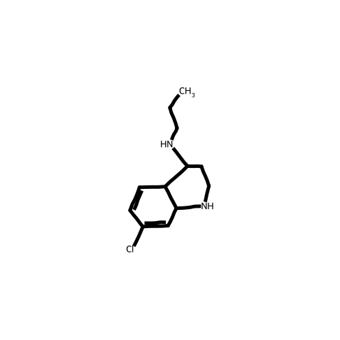 CCCNC1CCNC2C=C(Cl)C=CC21